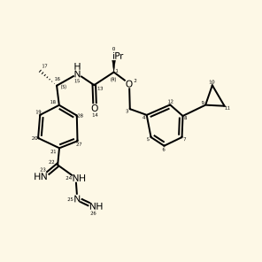 CC(C)[C@@H](OCc1cccc(C2CC2)c1)C(=O)N[C@@H](C)c1ccc(C(=N)NN=N)cc1